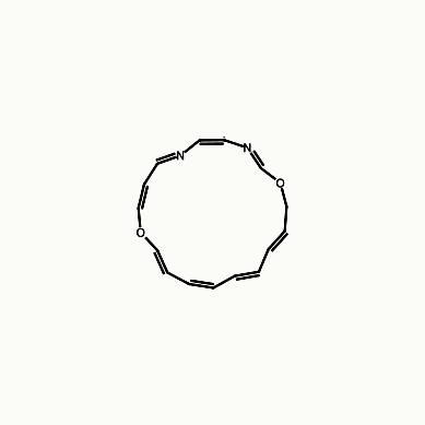 [C]1=C\N=C\C=C/O/C=C/C=C\C=C\C=C\CO/C=N/1